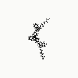 CCCCCCCCCN(/N=C/c1ccc(N(c2ccccc2)c2ccc(/C=N/N(CCCCCCCCC)c3ccccc3)cc2)cc1)c1ccccc1